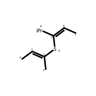 CC=C(C)S/C(=C\C)C(C)C